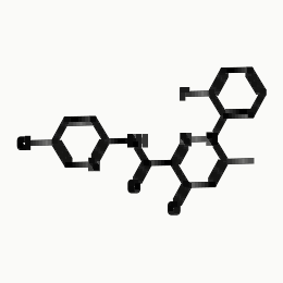 Cc1cc(=O)c(C(=O)Nc2ccc(Cl)cn2)nn1-c1ccccc1F